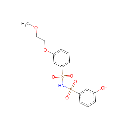 COCCOc1cccc(S(=O)(=O)NS(=O)(=O)c2cccc(O)c2)c1